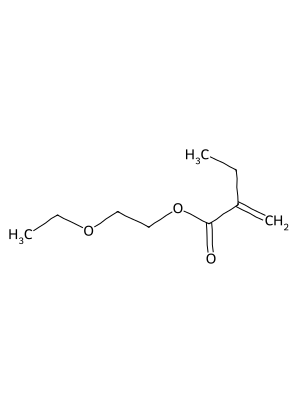 C=C(CC)C(=O)OCCOCC